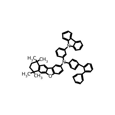 CC1(C)CCC(C)(C)c2cc3c(cc21)oc1ccc(N(c2ccc(-c4ccccc4-c4ccccc4)cc2)c2cccc(-n4c5ccccc5c5ccccc54)c2)cc13